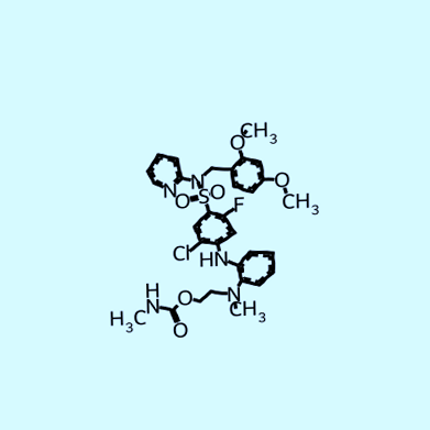 CNC(=O)OCCN(C)c1ccccc1Nc1cc(F)c(S(=O)(=O)N(Cc2ccc(OC)cc2OC)c2ccccn2)cc1Cl